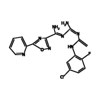 C=C(/N=C(N)\N=C(/N)c1noc(-c2ccccn2)n1)Nc1cc(Cl)ccc1F